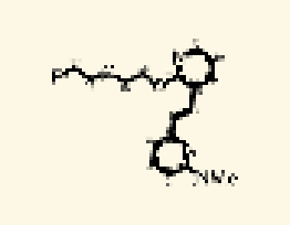 CNc1cccc(C=Cc2cccnc2OCCOCCF)n1